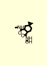 CNC(=O)C1CC2(CCC1C(=O)NO)CC2